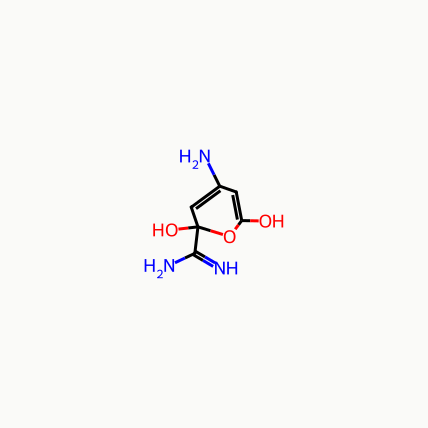 N=C(N)C1(O)C=C(N)C=C(O)O1